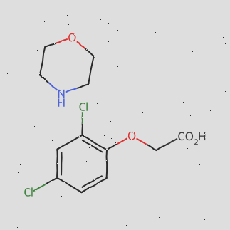 C1COCCN1.O=C(O)COc1ccc(Cl)cc1Cl